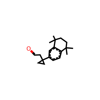 CC1(C)CCC(C)(C)c2cc(C3(CC=O)CC3)ccc21